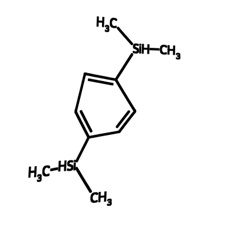 C[SiH](C)c1ccc([SiH](C)C)cc1